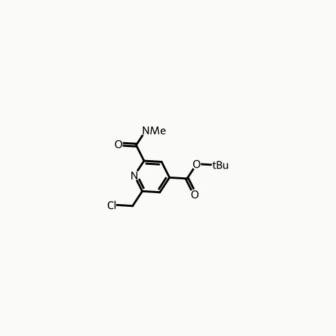 CNC(=O)c1cc(C(=O)OC(C)(C)C)cc(CCl)n1